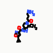 C[C@@H]1C[C@@H](NC(=O)c2cc(C3CC3)on2)CCN1C(=O)CCCN